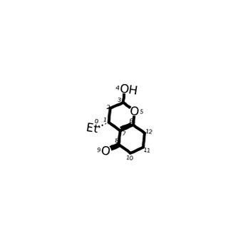 CC[C@@H]1CC(O)OC2=C1C(=O)CCC2